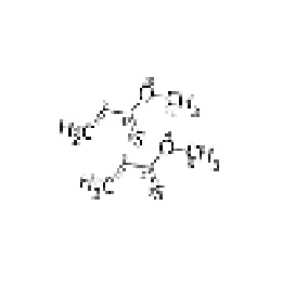 C=CC(=S)OC.C=CC(=S)OC